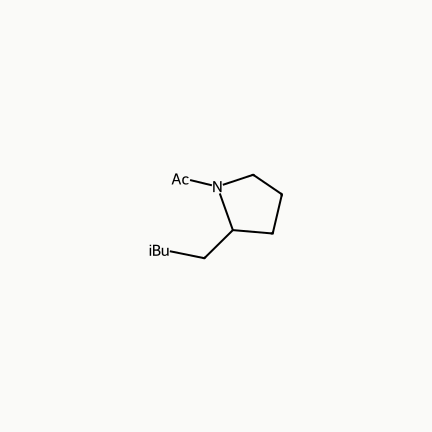 CCC(C)CC1CCCN1C(C)=O